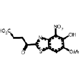 COc1cc2sc(C(=O)CCC(=O)O)nc2c([N+](=O)[O-])c1O